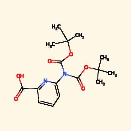 CC(C)(C)OC(=O)N(C(=O)OC(C)(C)C)c1cccc(C(=O)O)n1